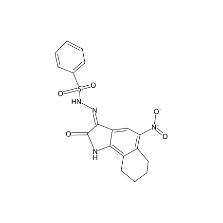 O=C1Nc2c(cc([N+](=O)[O-])c3c2CCCC3)C1=NNS(=O)(=O)c1ccccc1